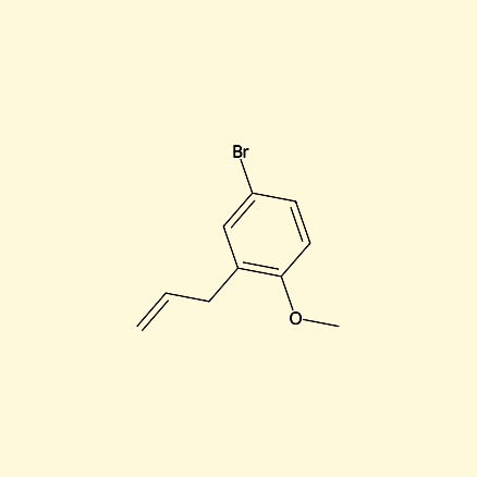 C=CCc1cc(Br)ccc1OC